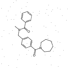 CN(Cc1ccc(C(=O)N2CCCCCC2)cc1)C(=O)c1ccccc1